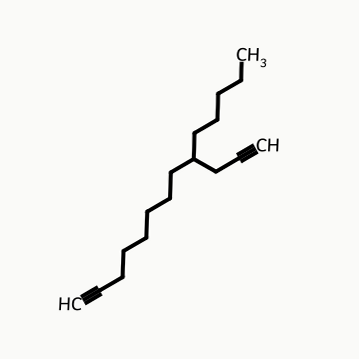 C#CCCCCCCC(CC#C)CCCCC